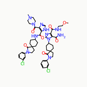 CN1CCN(C(=O)c2nc[nH]c2C(=O)NC2CCC3(CC2)CCN(c2cccc(Cl)c2)C3=O)CC1.COCCNC(=O)c1ncn(C2CCC3(CC2)CCN(c2cccc(Cl)c2)C3=O)c1C(N)=O